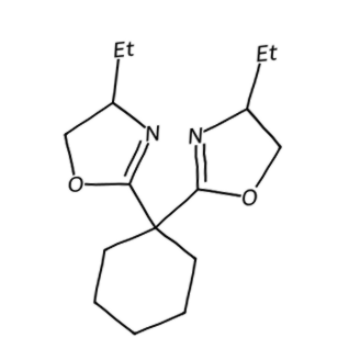 CCC1COC(C2(C3=NC(CC)CO3)CCCCC2)=N1